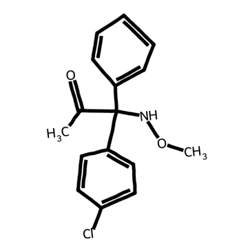 CONC(C(C)=O)(c1ccccc1)c1ccc(Cl)cc1